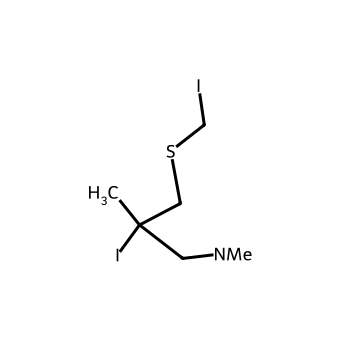 CNCC(C)(I)CSCI